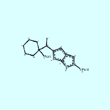 CCCCCc1cc2cc(C(C)C3(C(C)CCC)CCCCC3)sc2s1